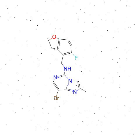 Cc1cn2c(NCc3c(F)ccc4c3CCO4)ncc(Br)c2n1